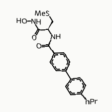 CCCc1ccc(-c2ccc(C(=O)N[C@H](CSC)C(=O)NO)cc2)cc1